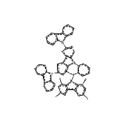 Cc1cc(C)c2c(c1)c1cc(C)cc(C)c1n2B1c2ccccc2-n2c3cnc(-n4c5ccccc5c5ccccc54)nc3c3cc(-n4c5ccccc5c5ccccc54)cc1c32